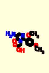 COc1ccc(-c2ncc(N)c(=O)n2CC(=O)O)c(OC)c1